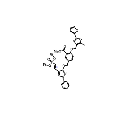 CCOP(=O)(/C=C/c1cn(-c2ccccc2)nc1OCc1ccc(OCc2nc(-c3ccco3)oc2C)c(C(=O)OC)c1)OCC